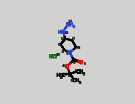 CC(C)(C)OC(=O)N1CCC(NN)CC1.Cl